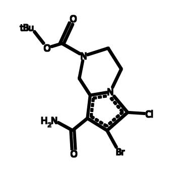 CC(C)(C)OC(=O)N1CCn2c(Cl)c(Br)c(C(N)=O)c2C1